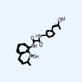 C/C(O)=C\c1cccc(NC(=O)C(=O)Nc2cccc3c2N(O)C(C)C=C3)c1